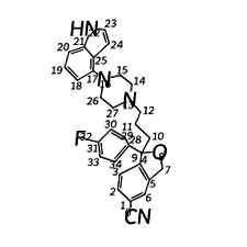 N#Cc1ccc2c(c1)COC2(CCCN1CCN(c2cccc3[nH]ccc23)CC1)c1ccc(F)cc1